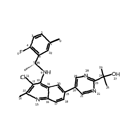 Cc1ccc(F)c([C@@H](C)Nc2c(Cl)c(C)nc3ccc(-c4cnc(C(C)(C)O)nc4)cc23)c1